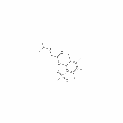 Cc1c(C)c(C)c(S(C)(=O)=O)c(OC(=O)COC(C)C)c1C